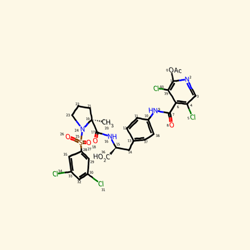 CC(=O)Oc1ncc(Cl)c(C(=O)Nc2ccc(C[C@H](NC(=O)[C@]3(C)CCCN3S(=O)(=O)c3cc(Cl)cc(Cl)c3)C(=O)O)cc2)c1Cl